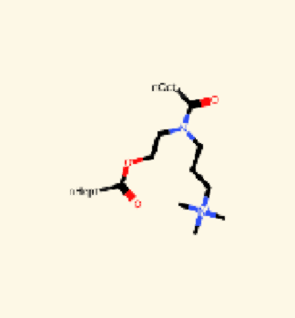 CCCCCCCCC(=O)N(CCC[N+](C)(C)C)CCOC(=O)CCCCCCC